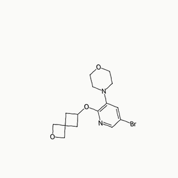 Brc1cnc(OC2CC3(COC3)C2)c(N2CCOCC2)c1